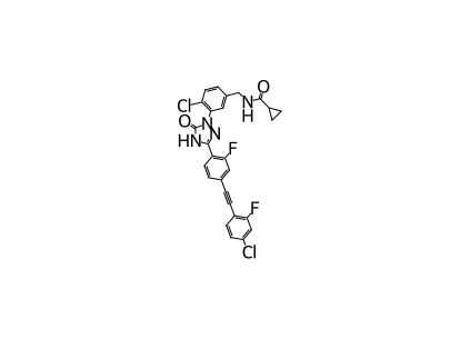 O=C(NCc1ccc(Cl)c(-n2nc(-c3ccc(C#Cc4ccc(Cl)cc4F)cc3F)[nH]c2=O)c1)C1CC1